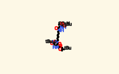 CC(C)(C)CC(C)(C)OC(=O)N[C@@H](CC(=O)OC(C)(C)C)C(=O)NCCC=CCCNC(=O)[C@H](CC(=O)O)NC(=O)OC(C)(C)C